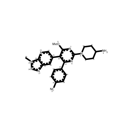 COc1nc(N2CCC(N)CC2)nc(-c2ccc(C#N)cc2)c1-c1cnc2c(c1)nnn2C